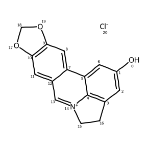 Oc1cc2c3c(c1)c1cc4c(cc1c[n+]3CC2)OCO4.[Cl-]